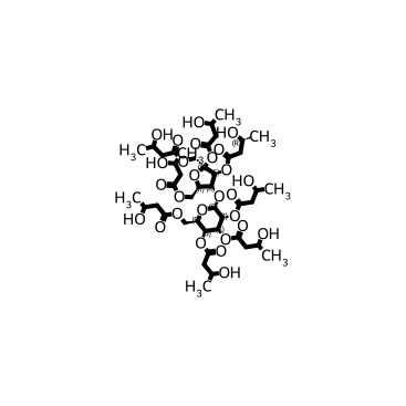 CC(O)CC(=O)OC[C@H]1O[C@@H](O[C@@H]2[C@@H](COC(=O)CC(C)O)O[C@@](COC(=O)CC(C)O)(OC(=O)CC(C)O)[C@H]2OC(=O)C[C@@H](C)O)[C@H](OC(=O)CC(C)O)[C@@H](OC(=O)CC(C)O)[C@H]1OC(=O)CC(C)O